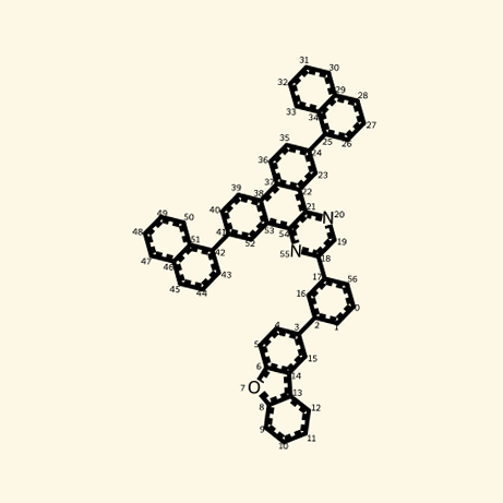 c1cc(-c2ccc3oc4ccccc4c3c2)cc(-c2cnc3c4cc(-c5cccc6ccccc56)ccc4c4ccc(-c5cccc6ccccc56)cc4c3n2)c1